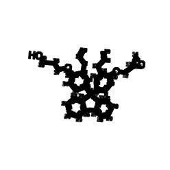 C=CCc1cc(C2(c3ccc(OCC4CO4)c(CC=C)c3)c3ccccc3-c3ccccc32)ccc1OCCCO